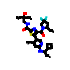 CC(Nc1cc(C(F)(F)F)c(-c2sc(C(=O)NCC(C)(C)O)nc2C(=O)N2CC(F)(F)CC2C)cn1)C1CCC1